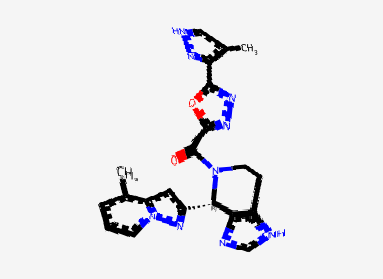 Cc1c[nH]nc1-c1nnc(C(=O)N2CCc3[nH]cnc3[C@@H]2c2cc3c(C)cccn3n2)o1